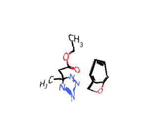 CCOC(=O)CC1(C)N=NN=N1.c1ccc2c(c1)CO2